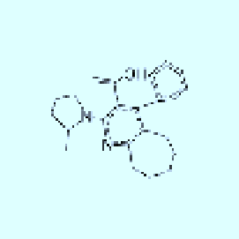 C=C(O)c1c(N2CCCC2C)nc2c(c1-c1ccccc1)CCCCC2